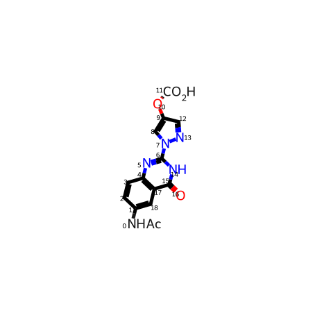 CC(=O)Nc1ccc2nc(-n3cc(OC(=O)O)cn3)[nH]c(=O)c2c1